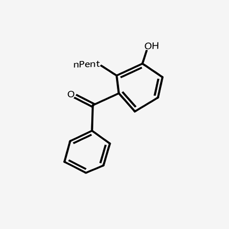 CCCCCc1c(O)cccc1C(=O)c1ccccc1